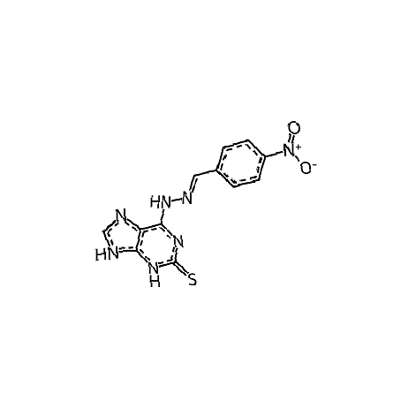 O=[N+]([O-])c1ccc(C=NNc2nc(=S)[nH]c3[nH]cnc23)cc1